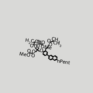 C=C(C)C(=O)OCCCc1cc(-c2ccc3cc(CCCCC)ccc3c2)ccc1OCC(COC(=O)C(=C)C)(COC(=O)C(=O)OC)COC(=O)C(=O)OC